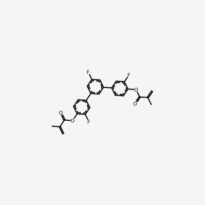 C=C(C)C(=O)Oc1ccc(-c2cc(F)cc(-c3ccc(OC(=O)C(=C)C)c(F)c3)c2)cc1F